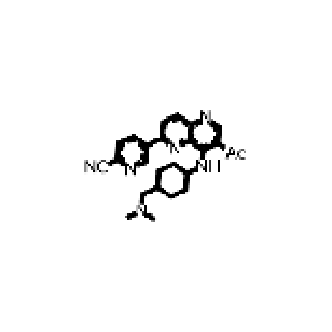 CC(=O)c1cnc2ccc(-c3ccc(C#N)nc3)nc2c1NC1CCC(CN(C)C)CC1